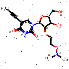 CC#Cc1cn([C@H]2O[C@@H](CO)C(O)C2OCCON(C)C)c(=O)[nH]c1=O